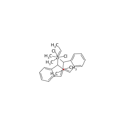 C[CH]=[Zr]([CH3])([CH3])([Cl])([Cl])([CH]1C(C)=Cc2ccccc21)[CH]1C(C)=Cc2ccccc21